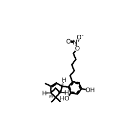 CC1=C[C@@H](c2c(O)cc(O)cc2CCCCCO[N+](=O)[O-])[C@H]2C[C@@H]1C2(C)C